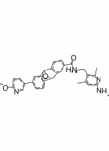 COc1ccc(-c2ccc3c(c2)C2OC3c3cc(C(=O)NCc4c(C)cc(N)nc4C)ccc32)cn1